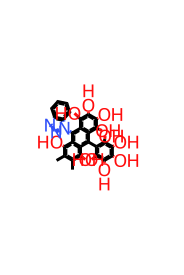 Cc1c(C)c(O)c2c(-n3nnc4ccccc43)c3c(O)c(O)c(O)c(O)c3c(-c3c(O)c(O)c(O)c(O)c3O)c2c1O